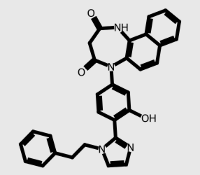 O=C1CC(=O)N(c2ccc(-c3nccn3CCc3ccccc3)c(O)c2)c2ccc3ccccc3c2N1